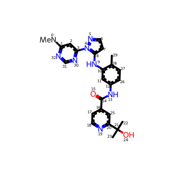 CNc1cc(-n2nccc2Nc2cc(NC(=O)c3ccnc(C(C)(C)O)c3)ccc2C)ncn1